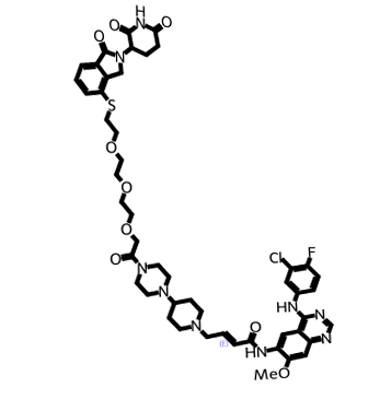 COc1cc2ncnc(Nc3ccc(F)c(Cl)c3)c2cc1NC(=O)/C=C/CN1CCC(N2CCN(C(=O)COCCOCCOCCSc3cccc4c3CN(C3CCC(=O)NC3=O)C4=O)CC2)CC1